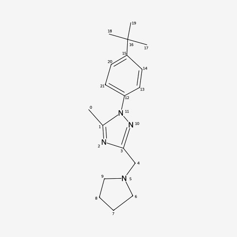 Cc1nc(CN2CCCC2)nn1-c1ccc(C(C)(C)C)cc1